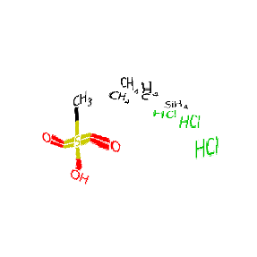 C.C.C.CS(=O)(=O)O.Cl.Cl.Cl.[SiH4]